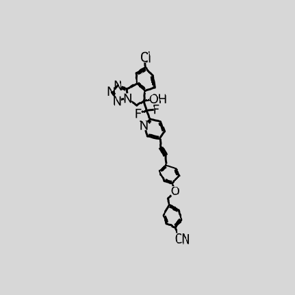 N#Cc1ccc(COc2ccc(C#Cc3ccc(C(F)(F)C4(O)Cn5nnnc5-c5cc(Cl)ccc54)nc3)cc2)cc1